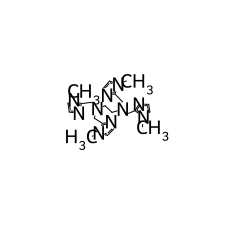 Cn1ccnc1CN(CCN(Cc1nccn1C)Cc1nccn1C)Cc1nccn1C